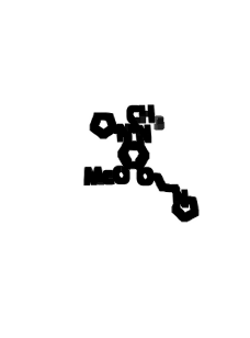 COc1cc2c(cc1OCCCN1CCCC1)nc(C)n2C1CCCC1